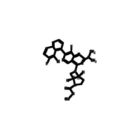 CN(C)c1nc(N2C[C@@H]3[C@H]2CCN3C(=O)OC(C)(C)C)c2cnc(-c3cccc4ccc(F)c(Cl)c34)c(F)c2n1